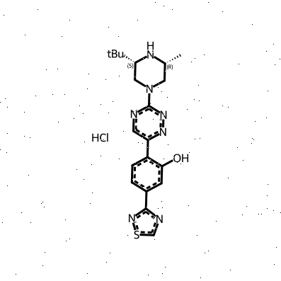 C[C@@H]1CN(c2ncc(-c3ccc(-c4ncsn4)cc3O)nn2)C[C@H](C(C)(C)C)N1.Cl